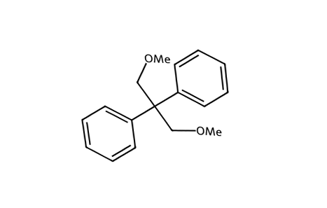 COCC(COC)(c1ccccc1)c1ccccc1